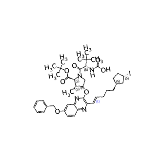 C[C@@H]1[C@@H](Oc2nc3cc(OCc4ccccc4)ccc3nc2/C=C/CCC[C@H]2CC[C@H](I)C2)CN(C(=O)[C@@H](NC(=O)O)C(C)(C)C)[C@@H]1C(=O)OC(C)(C)C